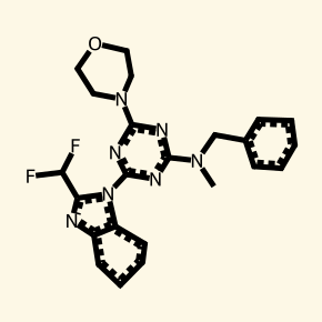 CN(Cc1ccccc1)c1nc(N2CCOCC2)nc(-n2c(C(F)F)nc3ccccc32)n1